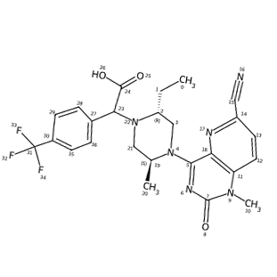 CC[C@@H]1CN(c2nc(=O)n(C)c3ccc(C#N)nc23)[C@@H](C)CN1C(C(=O)O)c1ccc(C(F)(F)F)cc1